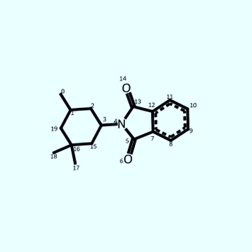 CC1CC(N2C(=O)c3ccccc3C2=O)CC(C)(C)C1